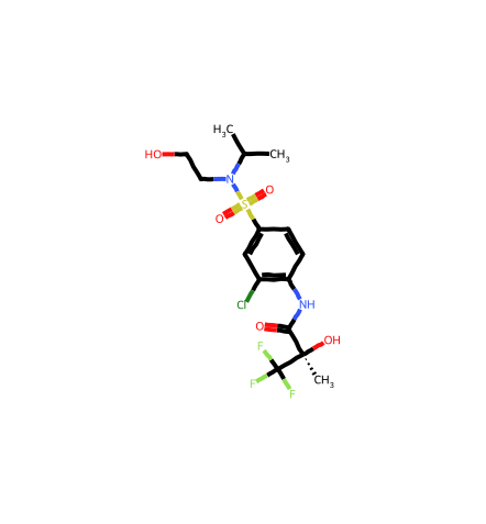 CC(C)N(CCO)S(=O)(=O)c1ccc(NC(=O)[C@@](C)(O)C(F)(F)F)c(Cl)c1